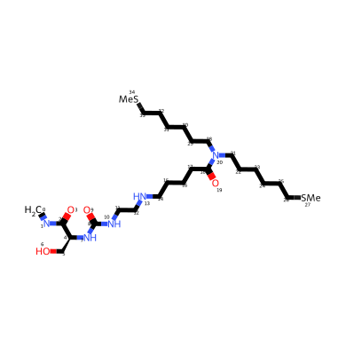 C=NC(=O)[C@H](CO)NC(=O)NCCNCCCCC(=O)N(CCCCCCSC)CCCCCCSC